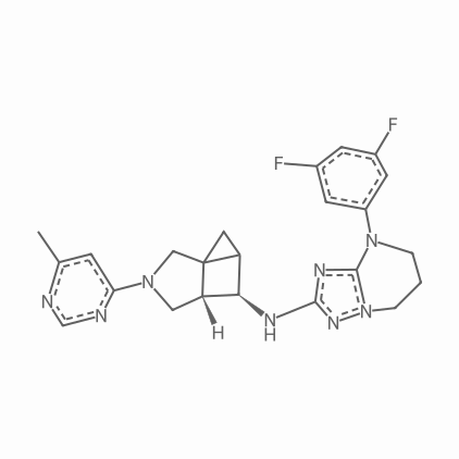 Cc1cc(N2C[C@H]3[C@H](Nc4nc5n(n4)CCCN5c4cc(F)cc(F)c4)C4CC43C2)ncn1